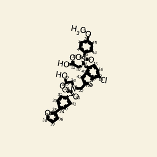 COc1ccc(S(=O)(=O)N(CC(=O)O)c2ccc(Cl)c3sc(CN(CC(=O)O)S(=O)(=O)c4ccc(-c5ccco5)cc4)cc23)cc1